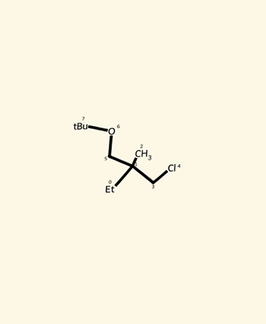 CCC(C)(CCl)COC(C)(C)C